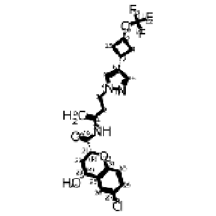 C=C(CCn1cc([C@H]2C[C@@H](OC(F)(F)F)C2)cn1)NC(=O)[C@H]1C[C@@H](O)c2cc(Cl)ccc2O1